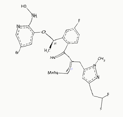 CN/C=C(/Cc1cc(CC(F)F)nn1C)C(=N)c1ccc(F)cc1[C@@H](C)Oc1cc(Br)cnc1NO